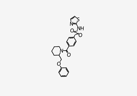 O=C(c1ccc(S(=O)(=O)Nc2nccs2)cc1)N1CCCCC1COc1ccccc1